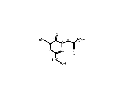 CCCC(CC(=O)NO)C(=O)NCC(=O)NC